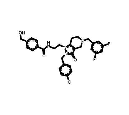 O=C(NCCn1c2c(c(=O)n1Cc1ccc(Cl)cc1)CN(Cc1cc(F)cc(F)c1)CC2)c1ccc(CO)cc1